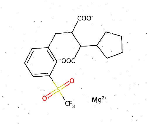 O=C([O-])C(Cc1cccc(S(=O)(=O)C(F)(F)F)c1)C(C(=O)[O-])C1CCCC1.[Mg+2]